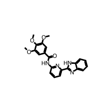 COc1cc(C(=O)Nc2cccc(-c3nc4ccccc4[nH]3)n2)cc(OC)c1OC